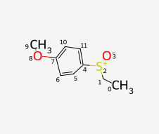 CC[S+]([O-])c1ccc(OC)cc1